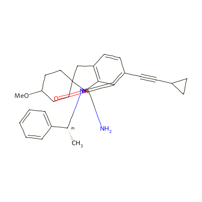 COC1CCC2(CC1)Cc1ccc(C#CC3CC3)cc1C21N=C(N)N([C@H](C)c2ccccc2)C1=O